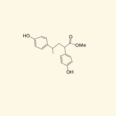 COC(=O)C(CC(C)c1ccc(O)cc1)c1ccc(O)cc1